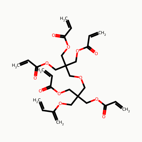 C=CC(=C)OCC(COCC(COC(=O)C=C)(COC(=O)C=C)COC(=O)C=C)(COC(=O)C=C)COC(=O)C=C